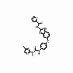 Cc1cnc(NC(=O)Nc2ccc(Oc3ccc4[nH]c(NC(=O)c5ccco5)nc4c3)cc2)s1